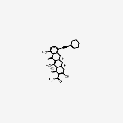 NC(=O)C1=C(O)C[C@@H]2C[C@@H]3Cc4c(C#CC5=CCCCC5)ccc(O)c4C(=O)C3=C(O)[C@]2(O)C1=O